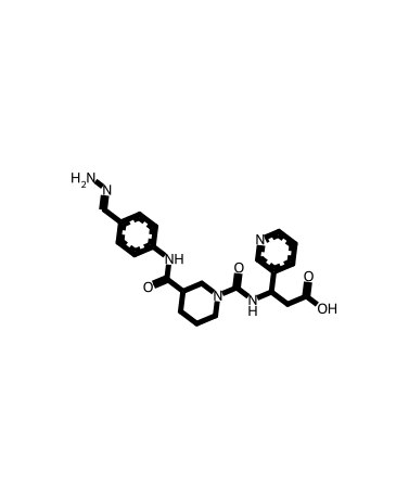 NN=Cc1ccc(NC(=O)C2CCCN(C(=O)NC(CC(=O)O)c3cccnc3)C2)cc1